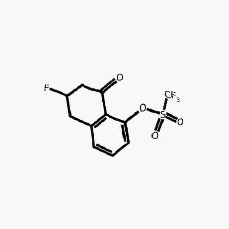 O=C1CC(F)Cc2cccc(OS(=O)(=O)C(F)(F)F)c21